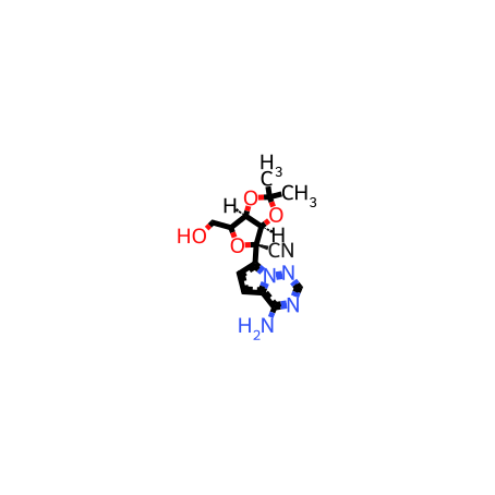 CC1(C)O[C@@H]2C(CO)O[C@@](C#N)(c3ccc4c(N)ncnn34)[C@@H]2O1